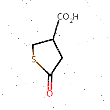 O=C1CC(C(=O)O)CS1